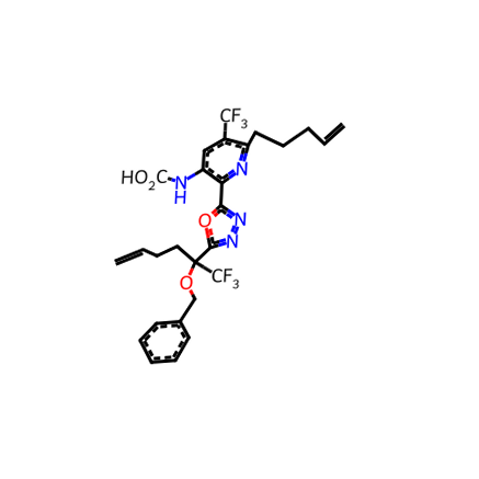 C=CCCCc1nc(-c2nnc(C(CCC=C)(OCc3ccccc3)C(F)(F)F)o2)c(NC(=O)O)cc1C(F)(F)F